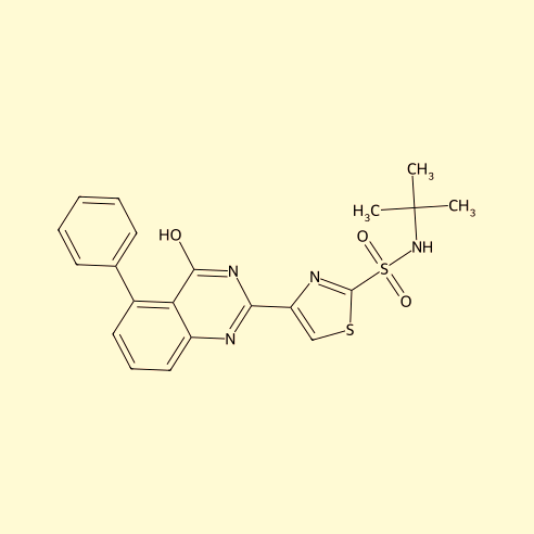 CC(C)(C)NS(=O)(=O)c1nc(-c2nc(O)c3c(-c4ccccc4)cccc3n2)cs1